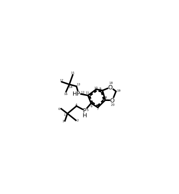 CC(C)(C)CPc1cc2c(cc1PCC(C)(C)C)OCO2